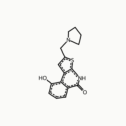 O=c1[nH]c2sc(CN3CCCC3)cc2c2c(O)cccc12